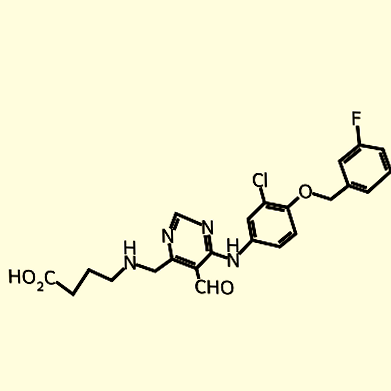 O=Cc1c(CNCCCC(=O)O)ncnc1Nc1ccc(OCc2cccc(F)c2)c(Cl)c1